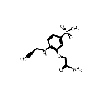 C#CCNc1ccc(S(C)(=O)=O)cc1OCC(N)=O